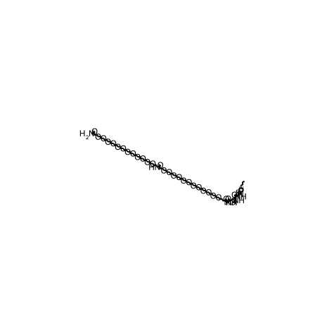 CCCC[C@H]1CCc2nc(NC(=O)[C@H](CCC(=O)N[C@@H](C)C(=O)CCCOCCOCCOCCOCCOCCOCCOCCOCCOCCOCCOCCOCCC(=O)NCCOCCOCCOCCOCCOCCOCCOCCOCCOCCOCCOCCOCCC(N)=O)NC(C)=O)sc2C1